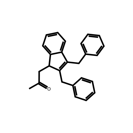 CC(=O)CC1C(Cc2ccccc2)=C(Cc2ccccc2)c2ccccc21